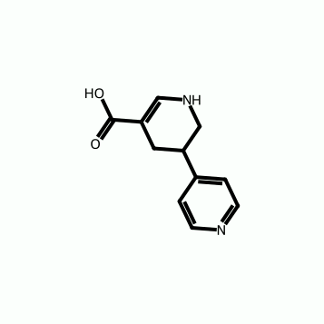 O=C(O)C1=CNCC(c2ccncc2)C1